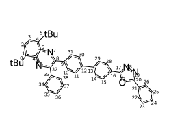 CC(C)(C)c1ccc(C(C)(C)C)c2nc(-c3ccc(-c4ccc(-c5nnc(-c6ccccc6)o5)cc4)cc3)c(-c3ccccc3)nc12